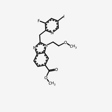 COCCn1c(Cc2ncc(I)cc2F)nc2ccc(C(=O)OC)cc21